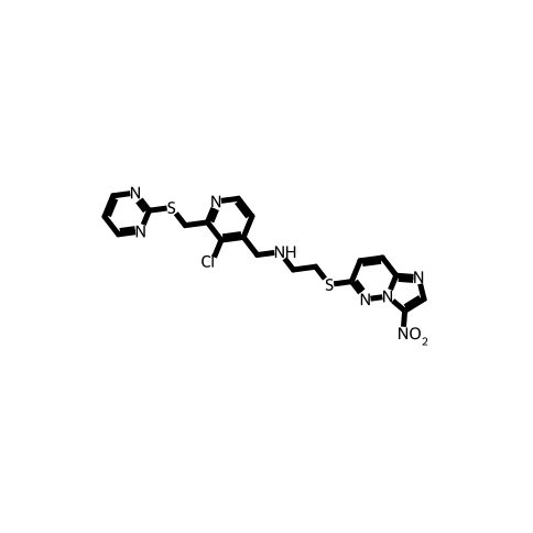 O=[N+]([O-])c1cnc2ccc(SCCNCc3ccnc(CSc4ncccn4)c3Cl)nn12